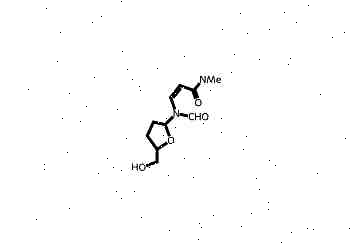 CNC(=O)/C=C\N(C=O)C1CCC(CO)O1